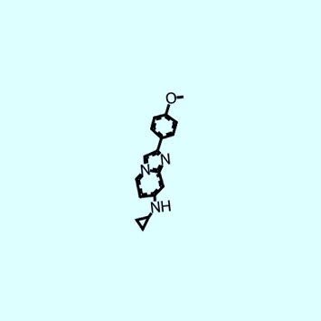 COc1ccc(-c2cn3ccc(NC4CC4)cc3n2)cc1